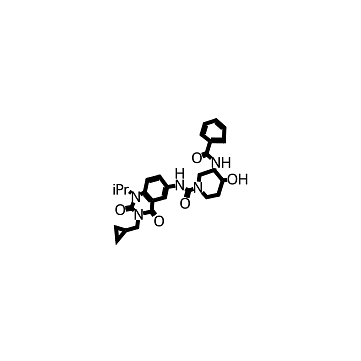 CC(C)n1c(=O)n(CC2CC2)c(=O)c2cc(NC(=O)N3CCC(O)C(NC(=O)c4ccccc4)C3)ccc21